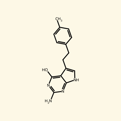 Cc1ccc(CCc2c[nH]c3nc(N)nc(O)c23)cc1